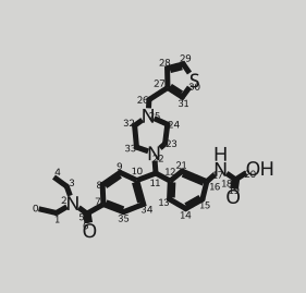 CCN(CC)C(=O)c1ccc(C(c2cccc(NC(=O)O)c2)N2CCN(Cc3ccsc3)CC2)cc1